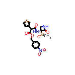 C[S+]([O-])[C@@]1(NC(=O)C(C(=O)OCc2ccc([N+](=O)[O-])cc2)c2ccsc2)CNC1=O